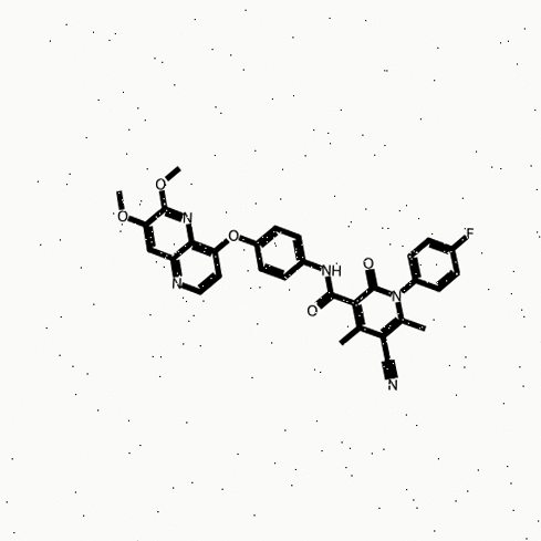 COc1cc2nccc(Oc3ccc(NC(=O)c4c(C)c(C#N)c(C)n(-c5ccc(F)cc5)c4=O)cc3)c2nc1OC